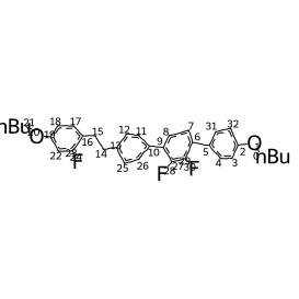 CCCCOc1ccc(-c2ccc(-c3ccc(CCc4ccc(OCCCC)cc4F)cc3)c(F)c2F)cc1